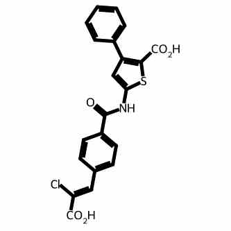 O=C(O)C(Cl)=Cc1ccc(C(=O)Nc2cc(-c3ccccc3)c(C(=O)O)s2)cc1